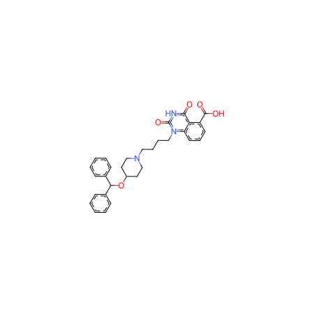 O=C(O)c1cccc2c1c(=O)[nH]c(=O)n2CCCCN1CCC(OC(c2ccccc2)c2ccccc2)CC1